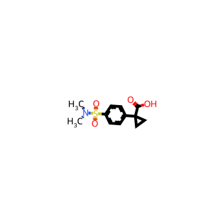 CN(C)S(=O)(=O)c1ccc(C2(C(=O)O)CC2)cc1